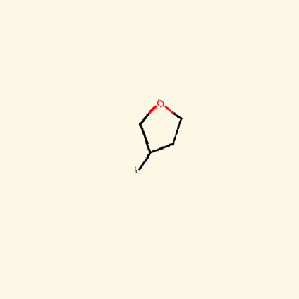 [C]C1CCOC1